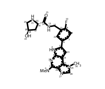 CNc1nc2[nH]c(-c3ccc(F)c(CNC(=O)[C@@H]4C[C@@H](O)CN4)c3)cc2c2c1ncn2C